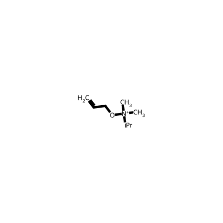 C=CCO[N+](C)(C)C(C)C